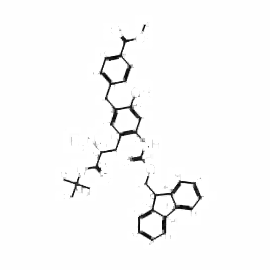 COC(=O)c1ccc(Cc2cc(C[C@H](N)C(=O)OC(C)(C)C)c(NC(=O)OCC3c4ccccc4-c4ccccc43)cc2O)cc1